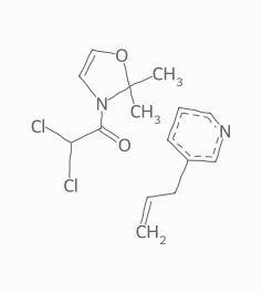 C=CCc1cccnc1.CC1(C)OC=CN1C(=O)C(Cl)Cl